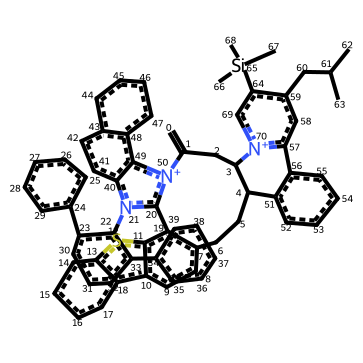 C=C1CC2C(CCc3ccc4c(sc5ccccc54)c3-c3n(-c4c(-c5ccccc5)cccc4-c4ccccc4)c4ccc5ccccc5c4[n+]31)c1ccccc1-c1cc(CC(C)C)c([Si](C)(C)C)c[n+]12